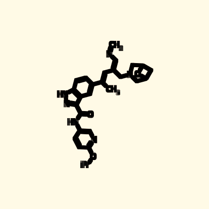 C=N/C=C(\C=C(/C)c1ccc2[nH]nc(C(=O)Nc3ccc(OC(C)C)nc3)c2c1)CN1CC2CC(C1)O2